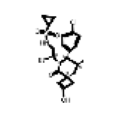 CC[C@@H](CNS(=O)(=O)C1CC1)N1C(=O)[C@]2(C=C(O)C2)C[C@H](C)[C@H]1c1ccc(Cl)cc1